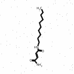 CCCCCCCCCCNC(=O)C=CC(N)=O